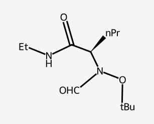 [CH2]CC[C@H](C(=O)NCC)N(C=O)OC(C)(C)C